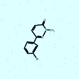 Cn1nc(-c2cccc(Br)c2)ccc1=O